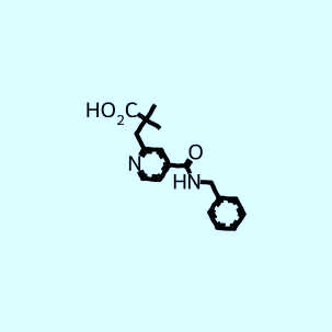 CC(C)(Cc1cc(C(=O)NCc2ccccc2)ccn1)C(=O)O